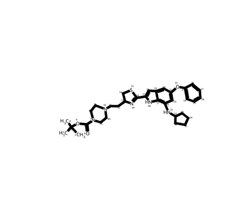 CC(C)(C)OC(=O)N1CCN(CCC2CSC(c3cc4cc(Oc5ccccc5)cc(NC5CCCC5)c4[nH]3)=N2)CC1